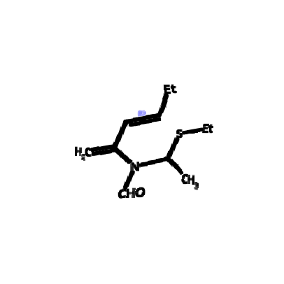 C=C(/C=C/CC)N(C=O)C(C)SCC